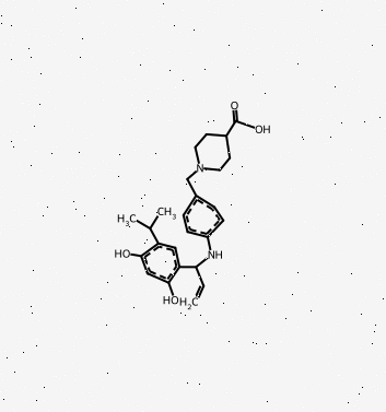 C=CC(Nc1ccc(CN2CCC(C(=O)O)CC2)cc1)c1cc(C(C)C)c(O)cc1O